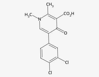 Cc1c(C(=O)O)c(=O)c(-c2ccc(Cl)c(Cl)c2)cn1C